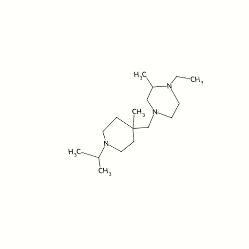 CCN1CCN(CC2(C)CCN(C(C)C)CC2)CC1C